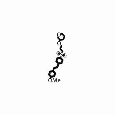 COc1ccc(C=Cc2ccc(S(=O)(=O)CCCOC3CCCOC3)cc2)cc1